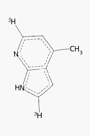 [3H]c1cc(C)c2cc([3H])[nH]c2n1